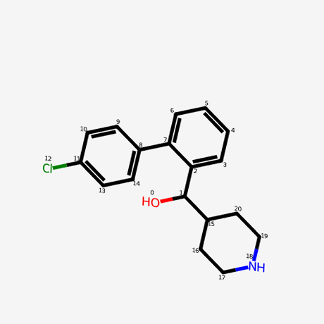 OC(c1ccccc1-c1ccc(Cl)cc1)C1CCNCC1